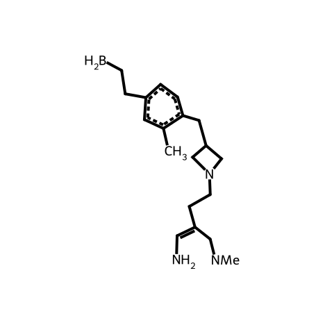 BCCc1ccc(CC2CN(CC/C(=C/N)CNC)C2)c(C)c1